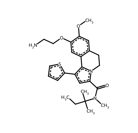 CCC(C)(C)N(C)C(=O)c1cc(-c2cccs2)c2n1CCc1cc(OC)c(OCCN)cc1-2